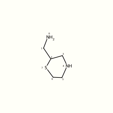 NCC1CNCCS1